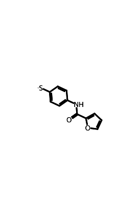 O=C(Nc1ccc([S])cc1)c1ccco1